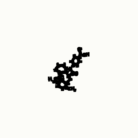 COc1cccc2c1/C(=C\c1c(C)cccc1Cl)C(=O)N2c1ccc(C(=O)O)cc1